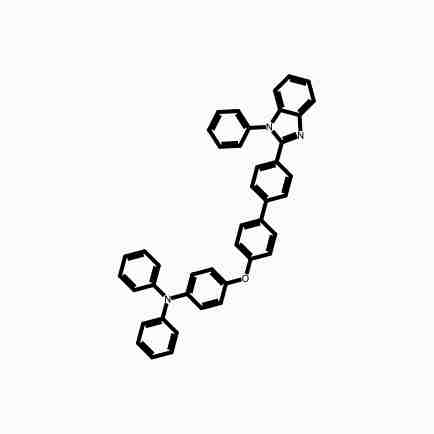 c1ccc(N(c2ccccc2)c2ccc(Oc3ccc(-c4ccc(-c5nc6ccccc6n5-c5ccccc5)cc4)cc3)cc2)cc1